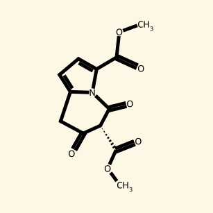 COC(=O)c1ccc2n1C(=O)[C@H](C(=O)OC)C(=O)C2